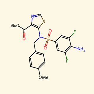 COc1ccc(CN(c2scnc2C(=O)OCC(C)C)S(=O)(=O)c2cc(F)c(N)c(F)c2)cc1